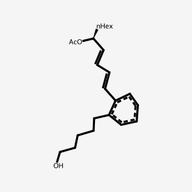 CCCCCC[C@@H](/C=C/C=C/c1ccccc1CCCCCO)OC(C)=O